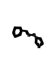 C(=NOn1ccnc1)c1ccccc1